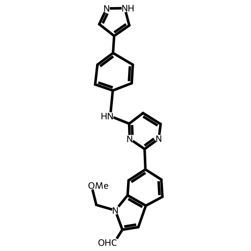 COCn1c(C=O)cc2ccc(-c3nccc(Nc4ccc(-c5cn[nH]c5)cc4)n3)cc21